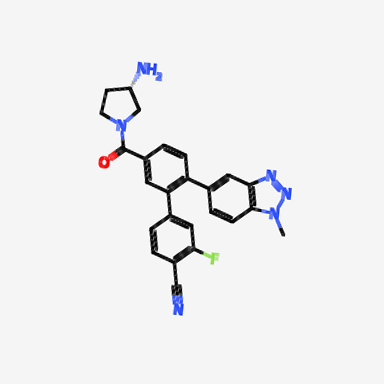 Cn1nnc2cc(-c3ccc(C(=O)N4CC[C@H](N)C4)cc3-c3ccc(C#N)c(F)c3)ccc21